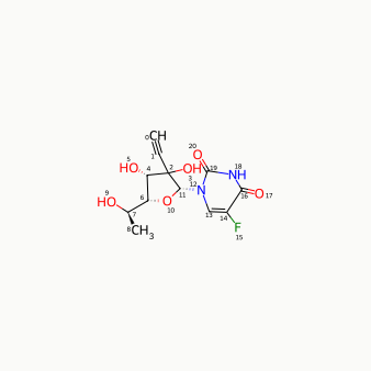 C#CC1(O)[C@@H](O)[C@@H]([C@@H](C)O)O[C@H]1n1cc(F)c(=O)[nH]c1=O